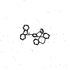 c1ccc2c(c1)CCc1ccccc1C21c2ccccc2-c2cc(-n3c4ccccc4c4ccccc43)ccc21